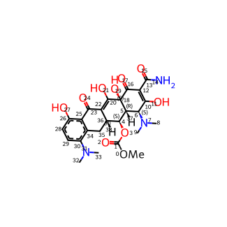 COC(=O)O[C@@H]1[C@H]2[C@H](N(C)C)C(O)=C(C(N)=O)C(=O)[C@@]2(O)C(O)=C2C(=O)c3c(O)ccc(N(C)C)c3C[C@H]21